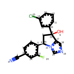 N#Cc1ccc([C@H]2C[C@](O)(c3cccc(Cl)c3)c3cncn32)c(F)c1